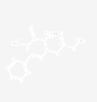 CCCCOC(=O)C(C(=O)O)C(C=Cc1ccccc1)CC(=O)CC(C)C